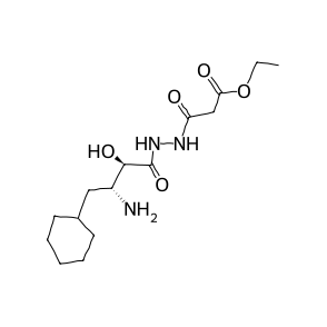 CCOC(=O)CC(=O)NNC(=O)[C@H](O)[C@H](N)CC1CCCCC1